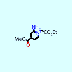 CCOC(=O)C[n+]1ccc(C(=O)OC)cc1N